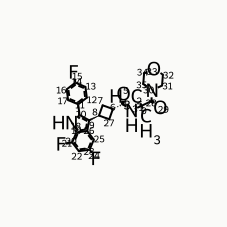 CC(C)(NC(=O)[C@H]1C[C@H](c2c(-c3ccc(F)cc3)[nH]c3c(F)cc(F)cc32)C1)C(=O)N1CCOCC1